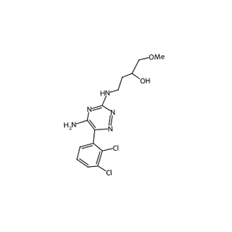 COCC(O)CCNc1nnc(-c2cccc(Cl)c2Cl)c(N)n1